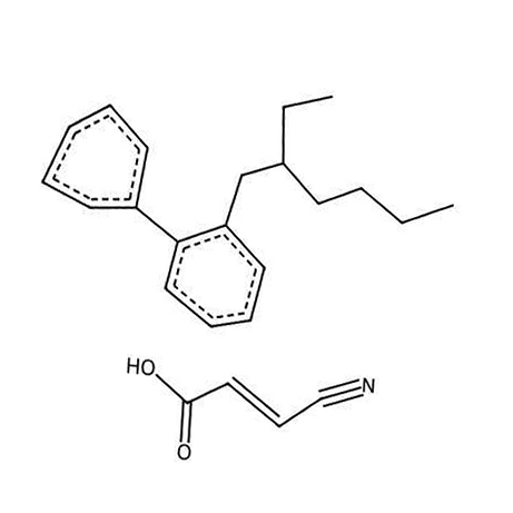 CCCCC(CC)Cc1ccccc1-c1ccccc1.N#CC=CC(=O)O